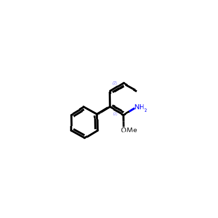 C/C=C\C(=C(/N)OC)c1ccccc1